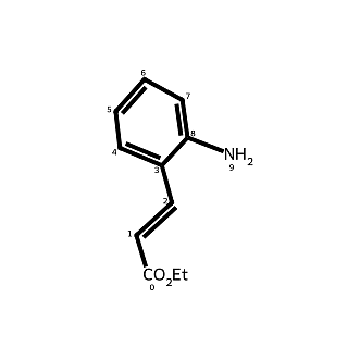 CCOC(=O)C=Cc1ccccc1N